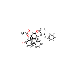 CC(=O)Oc1cc(O[C@@H](C)CCCc2ccccc2)cc2c1[C@@H]1CC(=O)CC[C@H]1C1CCCC[C@@H]21